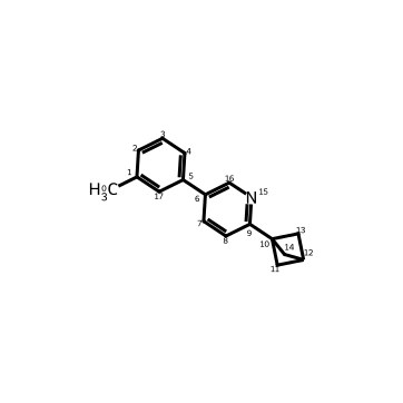 Cc1cccc(-c2ccc(C34CC(C3)C4)nc2)c1